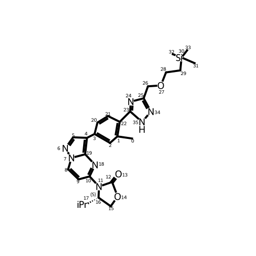 Cc1cc(-c2cnn3ccc(N4C(=O)OC[C@@H]4C(C)C)nc23)ccc1-c1nc(COCC[Si](C)(C)C)n[nH]1